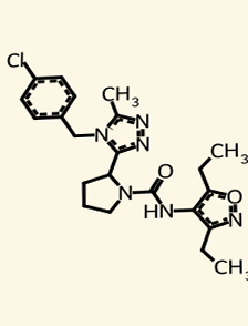 CCc1noc(CC)c1NC(=O)N1CCCC1c1nnc(C)n1Cc1ccc(Cl)cc1